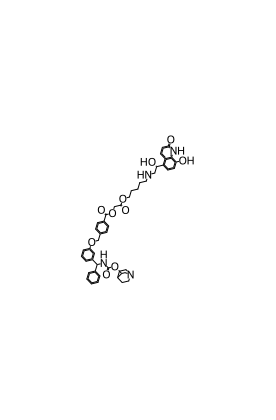 O=C(COC(=O)c1ccc(COc2cccc(C(NC(=O)OC3CN4CCC3CC4)c3ccccc3)c2)cc1)OCCCCCNCC(O)c1ccc(O)c2[nH]c(=O)ccc12